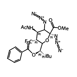 CC[C@@H](C)[C@@H](OC(=O)c1ccccc1)C1O[C@](N=[N+]=[N-])(C(=O)OC)C(N=[N+]=[N-])[C@H](NC(C)=O)[C@H]1C(F)(F)F